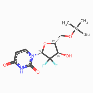 CC(C)(C)[Si](C)(C)OC[C@H]1O[C@@H](n2ccc(=O)[nH]c2=O)C(F)(F)[C@@H]1O